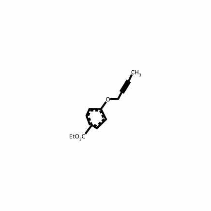 CC#CCOc1ccc(C(=O)OCC)cc1